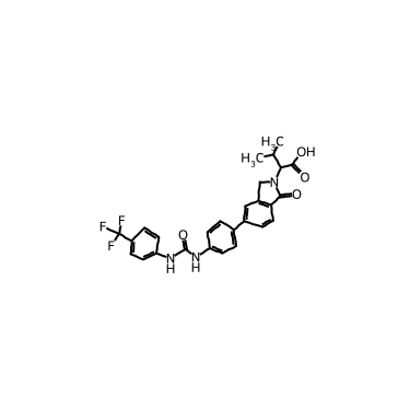 CC(C)C(C(=O)O)N1Cc2cc(-c3ccc(NC(=O)Nc4ccc(C(F)(F)F)cc4)cc3)ccc2C1=O